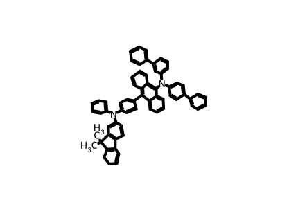 CC1(C)C2=C(C=CCC2)c2ccc(N(c3ccccc3)c3ccc(-c4c5ccccc5c(N(c5ccc(-c6ccccc6)cc5)c5cccc(-c6ccccc6)c5)c5ccccc45)cc3)cc21